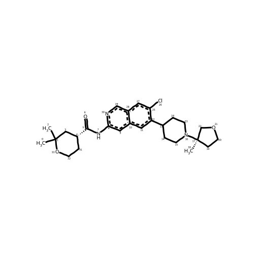 CC1(C)C[C@H](C(=O)Nc2cc3cc(C4CCN([C@]5(C)CCOC5)CC4)c(Cl)cc3cn2)CCO1